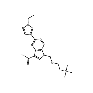 C=C(O)c1cn(COCC[Si](C)(C)C)c2ncc(-c3cnn(CC)c3)nc12